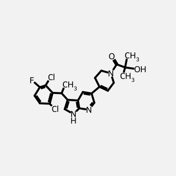 CC(c1c(Cl)ccc(F)c1Cl)c1c[nH]c2ncc(C3=CCN(C(=O)C(C)(C)O)CC3)cc12